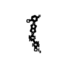 Cn1nnc(-c2nnc(N3CC4CN(c5cc(F)ccc5Cl)CC4C3)s2)n1